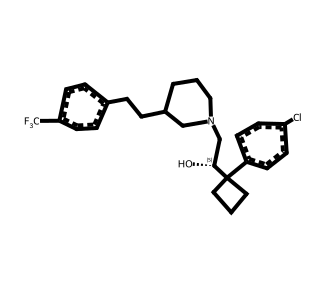 O[C@H](CN1CCCC(CCc2ccc(C(F)(F)F)cc2)C1)C1(c2ccc(Cl)cc2)CCC1